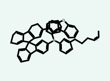 C/C=C\CCCc1cccc(N(c2ccc3c(c2)C2(C4=CCCC=C4C4=C2C=C(c2ccccc2)CC4)c2ccccc2-3)c2cccc3oc4ccccc4c23)c1